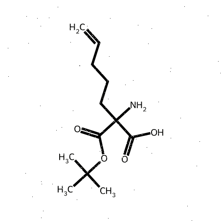 C=CCCCC(N)(C(=O)O)C(=O)OC(C)(C)C